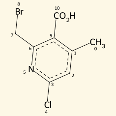 Cc1cc(Cl)nc(CBr)c1C(=O)O